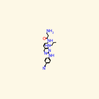 CCCNc1nc(Nc2ccc(C#N)cc2)ncc1/C=C\CNC(=O)CCN